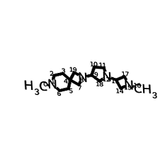 CN1CCC2(CC1)CN(C1CCN(C3CN(C)C3)C1)C2